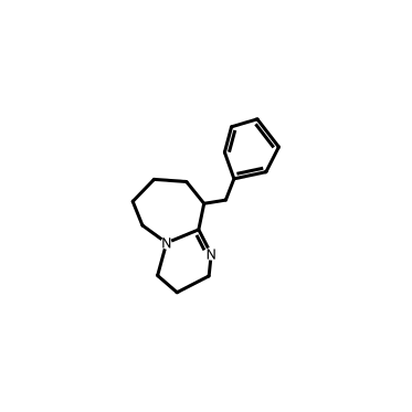 c1ccc(CC2CCCCN3CCCN=C23)cc1